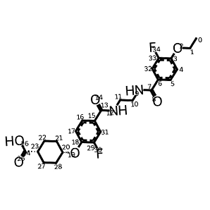 CCOc1ccc(C(=O)NCCNC(=O)c2ccc(O[C@H]3CC[C@@H](C(=O)O)CC3)c(F)c2)cc1F